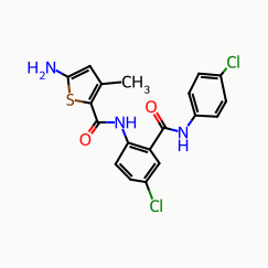 Cc1cc(N)sc1C(=O)Nc1ccc(Cl)cc1C(=O)Nc1ccc(Cl)cc1